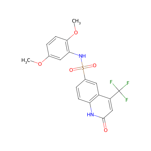 COc1ccc(OC)c(NS(=O)(=O)c2ccc3[nH]c(=O)cc(C(F)(F)F)c3c2)c1